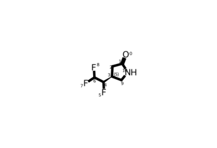 O=C1C[C@H](C(F)C(F)F)CN1